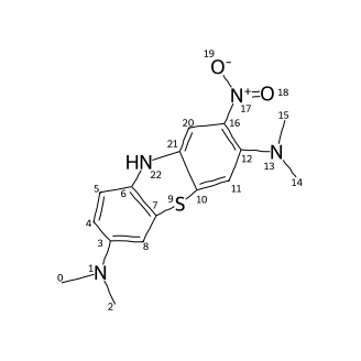 CN(C)c1ccc2c(c1)Sc1cc(N(C)C)c([N+](=O)[O-])cc1N2